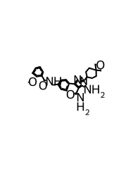 COc1ccccc1C(=O)NCc1ccc(-c2nn(C3CCC4(CC3)COC4)c(N)c2C(N)=O)cc1